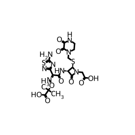 CC(C)(O/N=C(\C(=O)N[C@@H]1C(=O)N(CC(=O)O)[C@@H]1SCN1CCNC(=O)C1=O)c1nsc(N)n1)C(=O)O